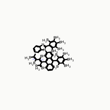 B=C(B)/C(=C(B)\C(B)=C(\B)C)c1c2ccccc2c(-c2c(B)c(B)c(B)c(B)c2B)c2ccc(-n3c(-c4c(B)c(B)c(B)c(B)c4B)nc4ccccc43)cc12